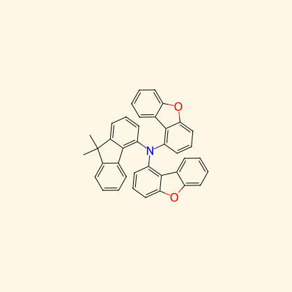 CC1(C)c2ccccc2-c2c(N(c3cccc4oc5ccccc5c34)c3cccc4oc5ccccc5c34)cccc21